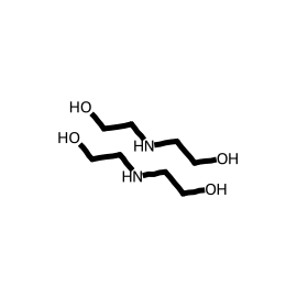 OCCNCCO.OCCNCCO